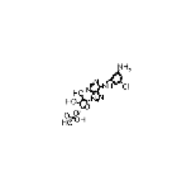 Nc1cc(Cl)cc(CNc2ncnc3c2ncn3[C@@H]2O[C@H](COP(=O)(O)O)[C@@H](O)[C@H]2O)c1